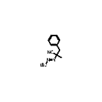 CC(C)(C)N=NC(C)(C#N)Cc1ccccc1